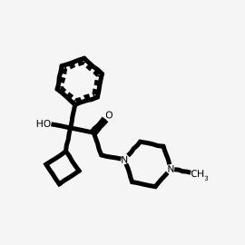 CN1CCN(CC(=O)C(O)(c2ccccc2)C2CCC2)CC1